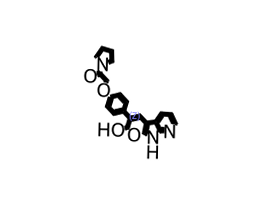 O=C(O)/C(=C\c1c[nH]c2ncccc12)c1ccc(OCC(=O)N2CCCC2)cc1